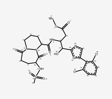 CC(C)(C)OC(=O)CC(NC(=O)C1CCCN2C(=O)CCC(NS(C)(=O)=O)C(=O)N12)C(O)c1ncc(-c2c(Cl)cccc2Cl)o1